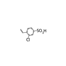 C=Cc1ccc(S(=O)(=O)O)cc1Cl